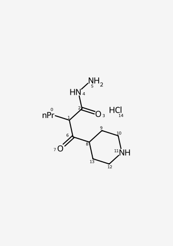 CCCC(C(=O)NN)C(=O)C1CCNCC1.Cl